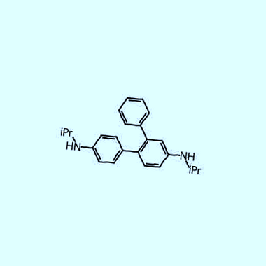 CC(C)Nc1ccc(-c2ccc(NC(C)C)cc2-c2ccccc2)cc1